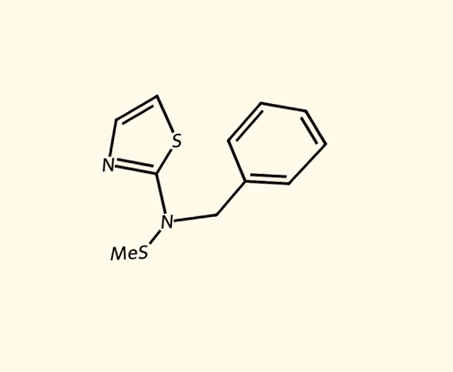 CSN(Cc1ccccc1)c1nccs1